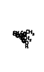 COc1ccc(N(Cc2ccc(O)cc2)S(=O)(=O)c2c(C)cc(C)cc2C)cc1